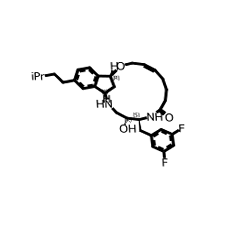 CC(C)CCc1ccc2c(c1)[C@@H]1C[C@H]2OCC=CCCCC(=O)N[C@@H](Cc2cc(F)cc(F)c2)[C@H](O)CN1